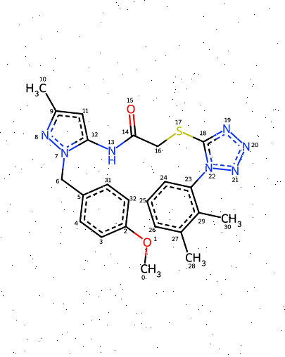 COc1ccc(Cn2nc(C)cc2NC(=O)CSc2nnnn2-c2cccc(C)c2C)cc1